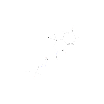 CC(C)(O)CNC(=O)CN1CC2(CC2)c2cc(Br)ccc2C1=O